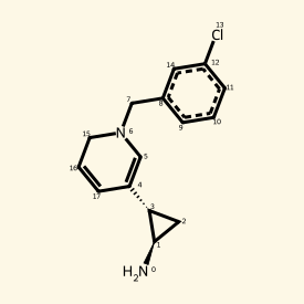 N[C@@H]1C[C@H]1C1=CN(Cc2cccc(Cl)c2)CC=C1